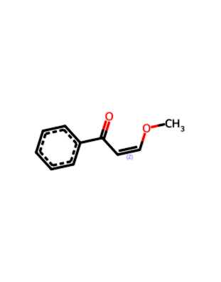 CO/C=C\C(=O)c1ccccc1